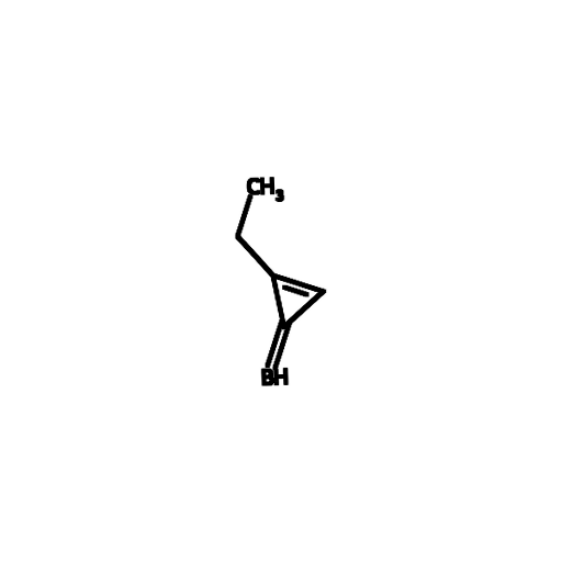 B=C1C=C1CC